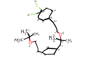 CC(C)(C)OCCC1CCC(CC(C)(C)OCCC2CCC(F)(F)CC2)C1